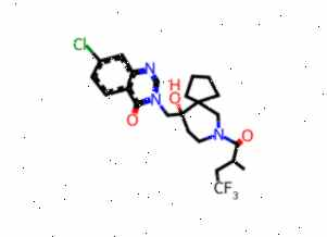 CC(CC(F)(F)F)C(=O)N1CCC(O)(Cn2cnc3cc(Cl)ccc3c2=O)C2(CCCC2)C1